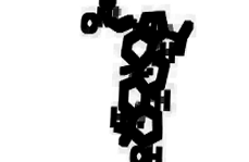 C=C(C)[C@@H]1CC[C@]2(C=C[N+](=O)[O-])CC[C@]3(C)[C@H](CC[C@@H]4[C@@]5(C)CC[C@H](O)C(C)(C)[C@@H]5CC[C@]43C)[C@@H]12